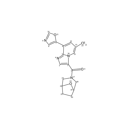 O=C(c1cnc2c(-c3cnco3)cc(C(F)(F)F)cn12)N1CC2CCC(C1)O2